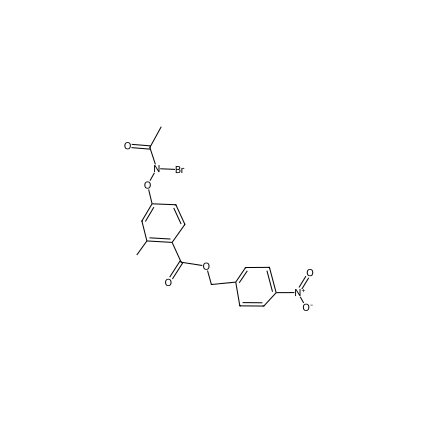 CC(=O)N(Br)Oc1ccc(C(=O)OCc2ccc([N+](=O)[O-])cc2)c(C)c1